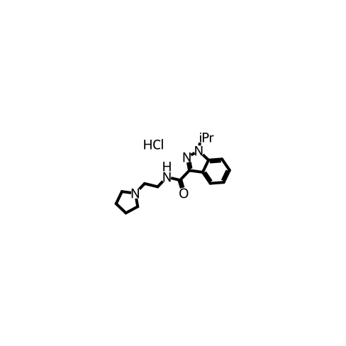 CC(C)n1nc(C(=O)NCCN2CCCC2)c2ccccc21.Cl